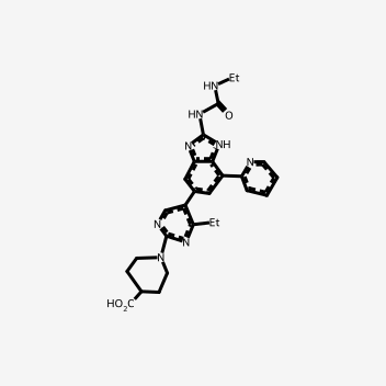 CCNC(=O)Nc1nc2cc(-c3cnc(N4CCC(C(=O)O)CC4)nc3CC)cc(-c3ccccn3)c2[nH]1